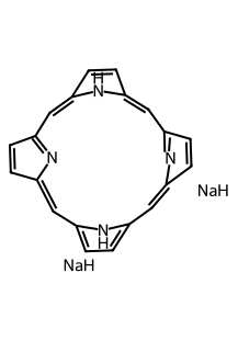 C1=Cc2cc3ccc(cc4nc(cc5ccc(cc1n2)[nH]5)C=C4)[nH]3.[NaH].[NaH]